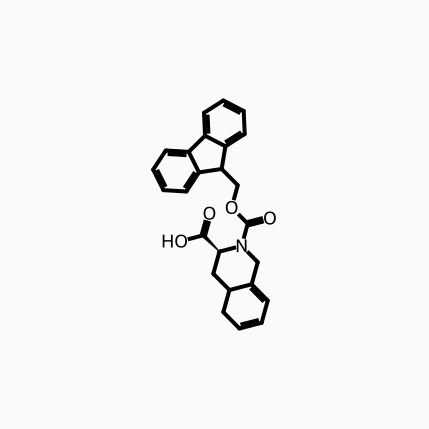 O=C(O)[C@@H]1CC2CC=CC=C2CN1C(=O)OCC1c2ccccc2-c2ccccc21